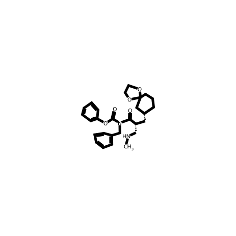 CNC[C@@H](C[C@H]1CCCC2(C1)OCCO2)C(=O)N(Cc1ccccc1)C(=O)Oc1ccccc1